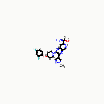 Cn1cc(-c2nc3cnc(C(C)(N)O)cc3nc2N2CCC(Oc3ccc(F)cc3F)CC2)cn1